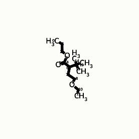 CCCOC(=O)C(CCOCC)C(C)(C)C